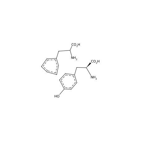 NC(Cc1ccccc1)C(=O)O.N[C@@H](Cc1ccc(O)cc1)C(=O)O